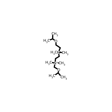 CC(C)OCC[N+](C)(C)CC[N+](C)(C)COC(C)C